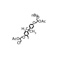 CCCCOCC(COc1ccc(C(C)(C)c2ccc(OCC(CCl)OC(C)=O)c(I)c2)cc1)OC(C)=O